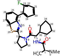 CN[C@@H](C)C(=O)N[C@H](C(=O)N1CCC[C@H]1c1nc2c(-c3ccccc3F)cccc2s1)C1CCCCC1